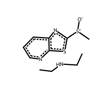 CCNCC.C[S+]([O-])c1nc2cccnc2s1